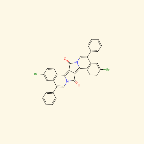 O=C1C2=C3c4ccc(Br)cc4C(c4ccccc4)=CN3C(=O)C2=C2c3ccc(Br)cc3C(c3ccccc3)=CN12